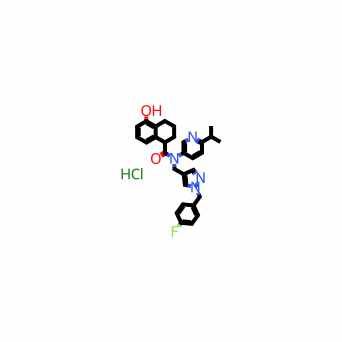 CC(C)c1ccc(N(Cc2cnn(Cc3ccc(F)cc3)c2)C(=O)C2CCCc3c(O)cccc32)cn1.Cl